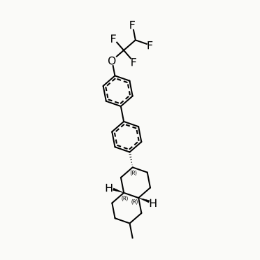 CC1CC[C@@H]2C[C@H](c3ccc(-c4ccc(OC(F)(F)C(F)F)cc4)cc3)CC[C@@H]2C1